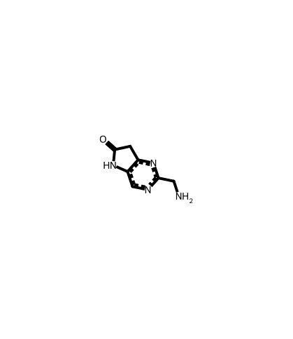 NCc1ncc2c(n1)CC(=O)N2